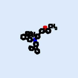 Cc1cccc2c1oc1ccc(-c3ccc(N(c4ccc5c(c4)C(C)(C)c4ccccc4-5)c4ccc5c(c4)C4(CC6CCC4C6)c4ccccc4-5)cc3)cc12